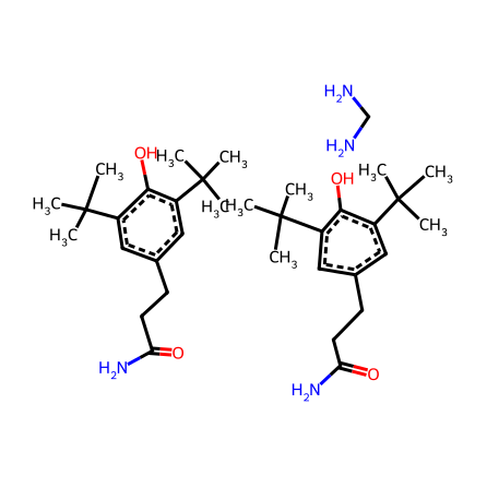 CC(C)(C)c1cc(CCC(N)=O)cc(C(C)(C)C)c1O.CC(C)(C)c1cc(CCC(N)=O)cc(C(C)(C)C)c1O.NCN